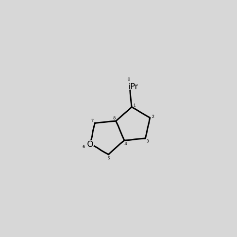 CC(C)C1CCC2COCC21